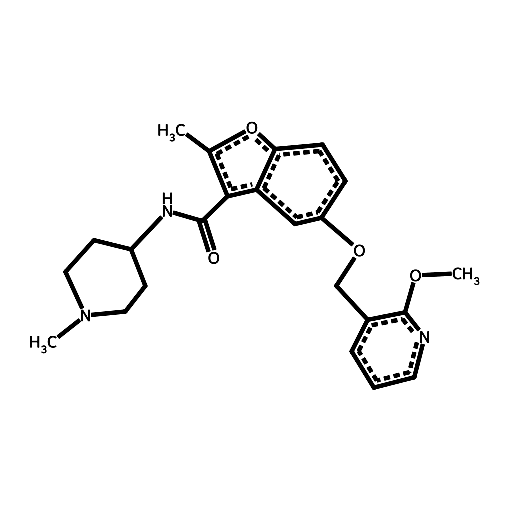 COc1ncccc1COc1ccc2oc(C)c(C(=O)NC3CCN(C)CC3)c2c1